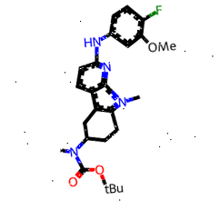 COc1cc(Nc2ccc3c4c(n(C)c3n2)CCC(N(C)C(=O)OC(C)(C)C)C4)ccc1F